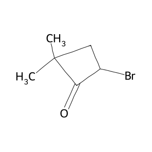 CC1(C)CC(Br)C1=O